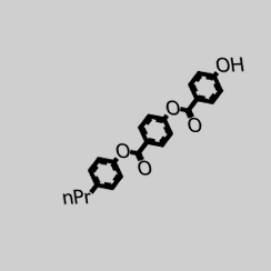 CCCc1ccc(OC(=O)c2ccc(OC(=O)c3ccc(O)cc3)cc2)cc1